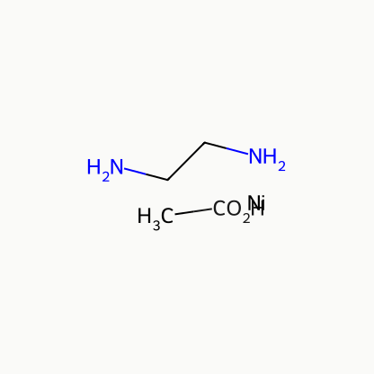 CC(=O)O.NCCN.[Ni]